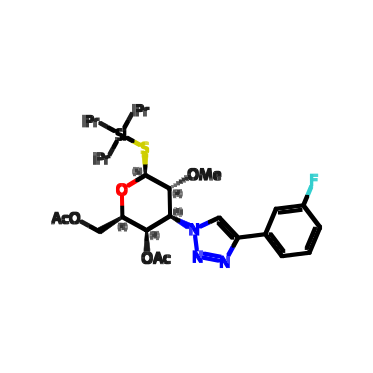 CO[C@@H]1[C@@H](n2cc(-c3cccc(F)c3)nn2)[C@@H](OC(C)=O)[C@@H](COC(C)=O)O[C@H]1S[Si](C(C)C)(C(C)C)C(C)C